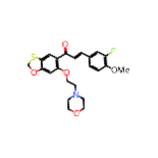 COc1ccc(C=CC(=O)c2cc3c(cc2OCCN2CCOCC2)OCS3)cc1F